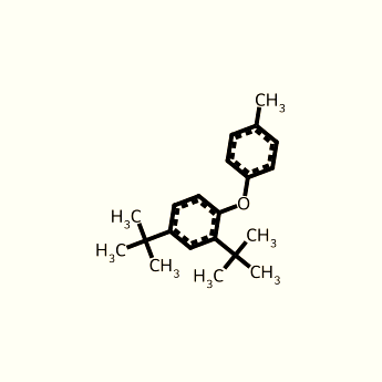 Cc1ccc(Oc2ccc(C(C)(C)C)cc2C(C)(C)C)cc1